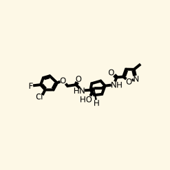 Cc1cc(C(=O)NC23CCC(NC(=O)COc4ccc(F)c(Cl)c4)(CC2)[C@@H](O)C3)on1